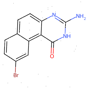 Nc1nc2ccc3ccc(Br)cc3c2c(=O)[nH]1